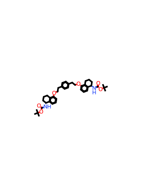 CC(C)(C)OC(=O)N[C@@H]1CCCc2c(OCCc3ccc(CCOc4cccc5c4CCC[C@H]5NC(=O)OC(C)(C)C)cc3)cccc21